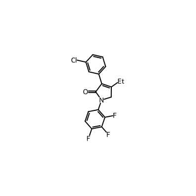 CCC1=C(c2cccc(Cl)c2)C(=O)N(c2ccc(F)c(F)c2F)C1